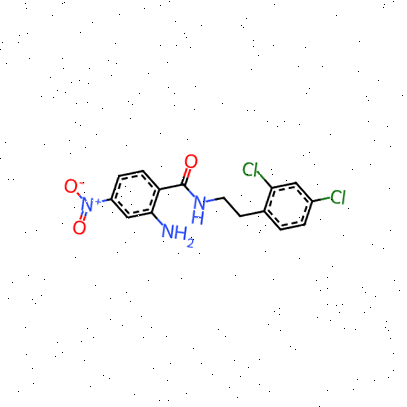 Nc1cc([N+](=O)[O-])ccc1C(=O)NCCc1ccc(Cl)cc1Cl